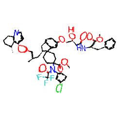 COC(=O)[C@@H](Cc1ccccc1)NC(=O)CC(O)COc1ccc2c(c1)C1(CCC(C(=O)OC)(N(C(=O)C(F)(F)F)c3cccc(Cl)c3)CC1)[C@@H](C[C@@H](C)COc1ccnc3c1[C@H](C)CCC3)C2